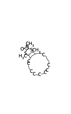 CN1C(=O)C2=C1SC1(C)CC(C)(S2)C2CCCCCCCCCCCCCCCCCCCC1C2